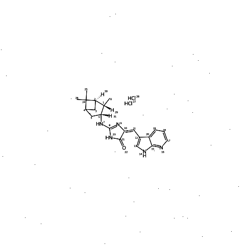 C[C@H]1[C@H]2CC(C[C@H]1NC1=NC(=Cc3c[nH]c4ncccc34)C(=O)N1)C2(C)C.Cl.Cl